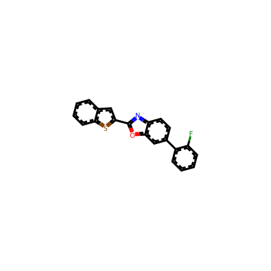 Fc1ccccc1-c1ccc2nc(-c3cc4ccccc4s3)oc2c1